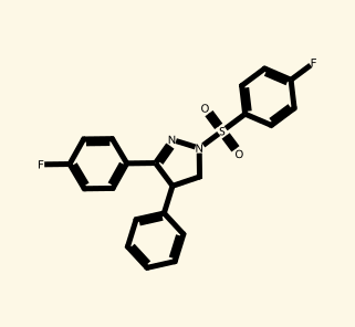 O=S(=O)(c1ccc(F)cc1)N1CC(c2ccccc2)C(c2ccc(F)cc2)=N1